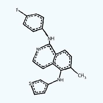 Cc1ccc2c(Nc3ccc(F)cc3)nccc2c1Nc1ccsc1